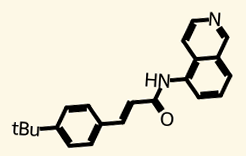 CC(C)(C)c1ccc(C=CC(=O)Nc2cccc3cnccc23)cc1